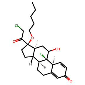 CCCCCO[C@]1(C(=O)CCl)CC[C@H]2[C@@H]3CCC4=CC(=O)C=C[C@]4(C)[C@@]3(F)C(O)C[C@@]21C